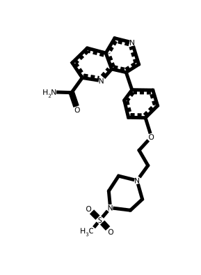 CS(=O)(=O)N1CCN(CCOc2ccc(-c3cncc4ccc(C(N)=O)nc34)cc2)CC1